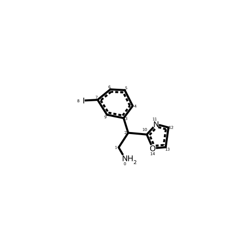 NCC(c1cccc(I)c1)c1ncco1